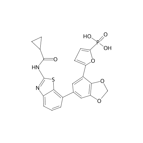 O=C(Nc1nc2cccc(-c3cc4c(c(-c5ccc(P(=O)(O)O)o5)c3)OCO4)c2s1)C1CC1